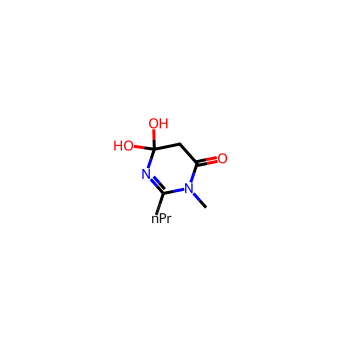 CCCC1=NC(O)(O)CC(=O)N1C